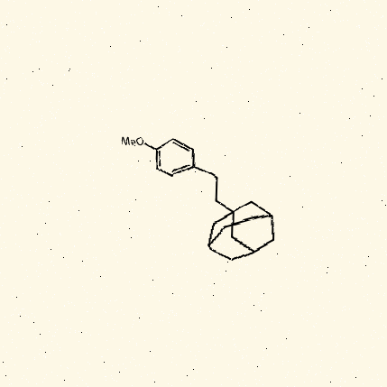 COc1ccc(CCC23CC4CC(CC(C4)C2)C3)cc1